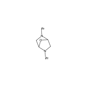 CC(C)N1CC2OC1CN2C(C)C